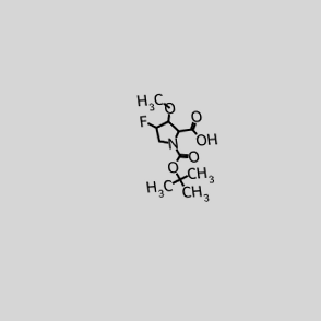 COC1C(F)CN(C(=O)OC(C)(C)C)C1C(=O)O